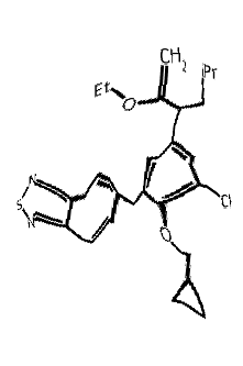 C=C(OCC)C(CC(C)C)c1cc(Cl)c(OCC2CC2)c(-c2ccc3nsnc3c2)c1